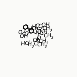 CCCC1(COC(=O)C(C)(C)C)NC(C(C)(C)O)=C(C(=O)O)N1Cc1ccc(-c2ccccc2C(=O)C(=O)O)cc1.Cl